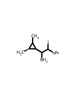 BC(C(I)CCC)C1C(C)[C@@H]1C